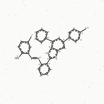 Oc1ccc(I)cc1/C=N/c1ccccc1-c1nc2c(-c3ccccc3)cc(-c3ccc(F)cc3)cc2s1